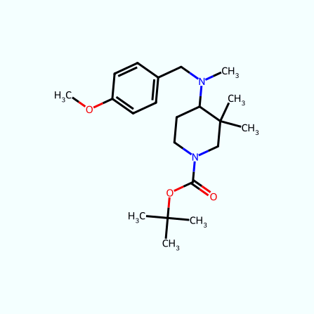 COc1ccc(CN(C)C2CCN(C(=O)OC(C)(C)C)CC2(C)C)cc1